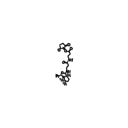 [2H]C1([2H])CCC([2H])(C(=O)NCCC(=O)NCCC(=O)ON2C(=O)CCC2=O)N1CC(C)C